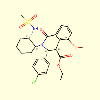 CCOC(=O)[C@@H]1c2c(OC)cccc2C(=O)N([C@H]2CCCC[C@@H]2NS(C)(=O)=O)[C@H]1c1ccc(Cl)cc1